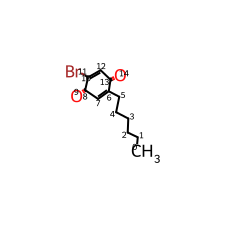 CCCCCCC1=CC(=O)C(Br)=CC1=O